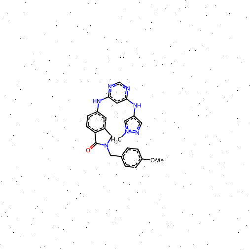 COc1ccc(CN2Cc3cc(Nc4cc(Nc5cnn(C)c5)ncn4)ccc3C2=O)cc1